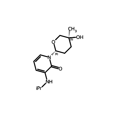 CC(C)Nc1cccn([C@H]2CC[C@](C)(O)CO2)c1=O